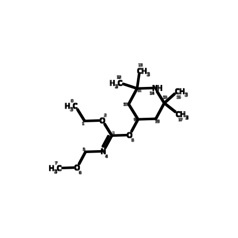 CCOC(=NCOC)OC1CC(C)(C)NC(C)(C)C1